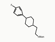 CCCCCCCCCCCC1CCC(c2ccc(F)cc2)CC1